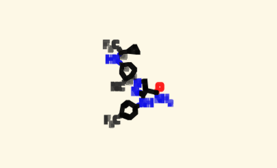 N#C[C@H]1C[C@@H](N[C@H](C2CC2)C(F)(F)F)CC[C@@H]1n1cc(C(N)=O)c(Nc2ccc(C(F)(F)F)cc2)n1